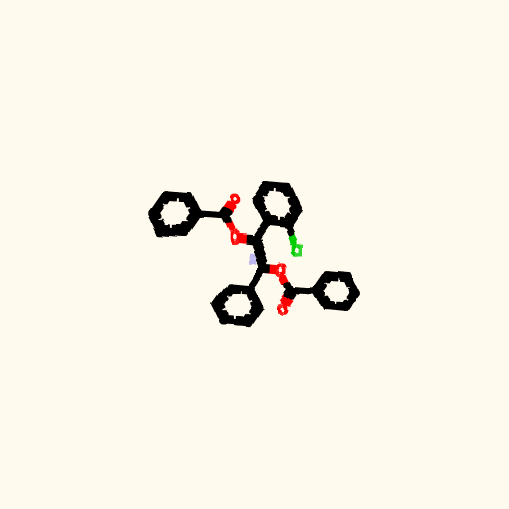 O=C(O/C(=C(/OC(=O)c1ccccc1)c1ccccc1Cl)c1ccccc1)c1ccccc1